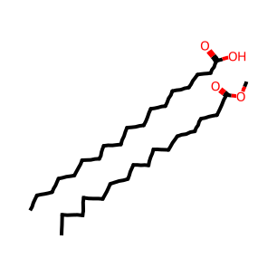 CCCCCCCCCCCCCCCC(=O)OC.CCCCCCCCCCCCCCCCCC(=O)O